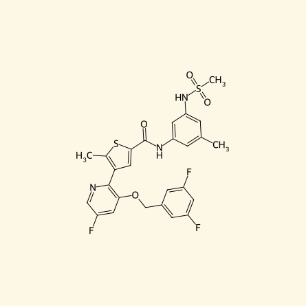 Cc1cc(NC(=O)c2cc(-c3ncc(F)cc3OCc3cc(F)cc(F)c3)c(C)s2)cc(NS(C)(=O)=O)c1